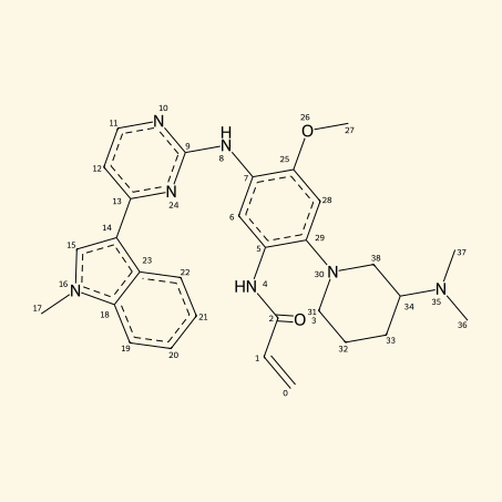 C=CC(=O)Nc1cc(Nc2nccc(-c3cn(C)c4ccccc34)n2)c(OC)cc1N1CCCC(N(C)C)C1